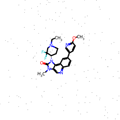 CCN1CC[C@H](n2c(=O)n(C)c3cnc4ccc(-c5ccc(OC)nc5)cc4c32)C(F)(F)C1